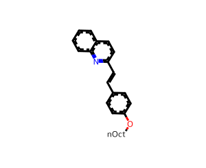 CCCCCCCCOc1ccc(C=Cc2ccc3ccccc3n2)cc1